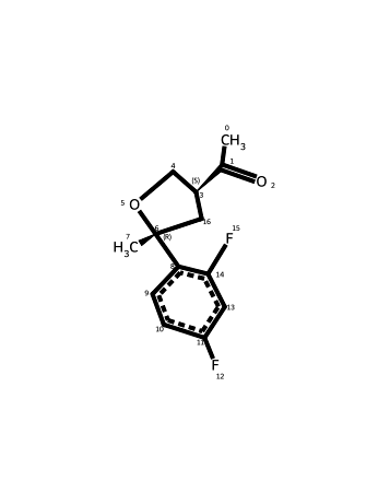 CC(=O)[C@@H]1CO[C@@](C)(c2ccc(F)cc2F)C1